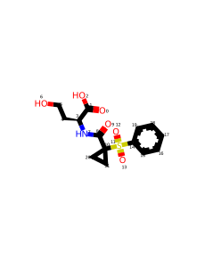 O=C(O)[C@H](CCO)NC(=O)C1(S(=O)(=O)c2ccccc2)CC1